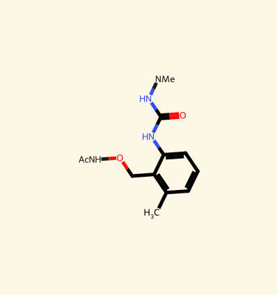 CNNC(=O)Nc1cccc(C)c1CONC(C)=O